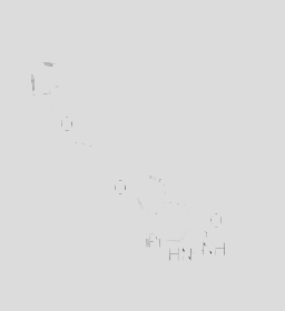 CC(C)c1[nH][nH]c(=O)c1Cc1ccc(OCCCCOCc2ccccc2)cc1